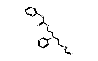 O=CNCCN(CCOC(=O)Oc1ccccc1)c1ccccc1